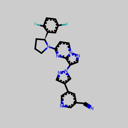 N#Cc1cncc(-c2cnn(-c3cnn4ccc(N5CCC[C@H]5c5cc(F)ccc5F)nc34)c2)c1